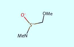 CN[S+]([O-])COC